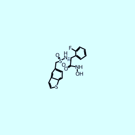 O=C(NO)[C@H](NS(=O)(=O)Cc1ccc2sccc2c1)c1ccccc1F